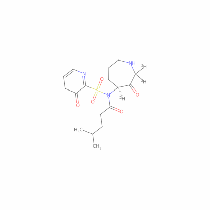 [2H]C1([2H])NCCC[C@]([2H])(N(C(=O)[CH]CC(C)C)S(=O)(=O)C2=NC=CCC2=O)C1=O